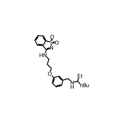 CCCCC(CC)NCc1cccc(OCCCNC2=NS(=O)(=O)c3ccccc32)c1